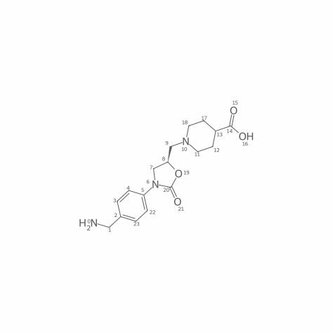 NCc1ccc(N2C[C@@H](CN3CCC(C(=O)O)CC3)OC2=O)cc1